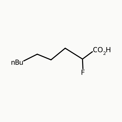 CCCCCCCC(F)C(=O)O